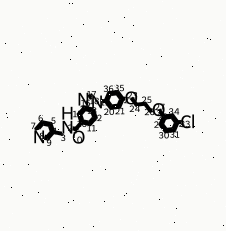 O=C(NCc1cccnc1)c1ccc2c(c1)ncn2-c1ccc(OCCCOc2cccc(Cl)c2)cc1